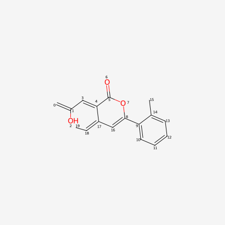 C=C(O)/C=c1/c(=O)oc(-c2ccccc2C)c/c1=C/C